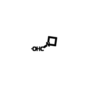 O=[C]N1CCC1